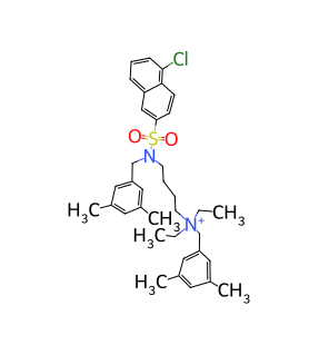 CC[N+](CC)(CCCCN(Cc1cc(C)cc(C)c1)S(=O)(=O)c1ccc2c(Cl)cccc2c1)Cc1cc(C)cc(C)c1